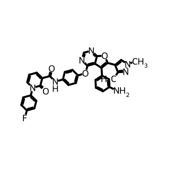 Cc1nn(C)cc1-c1oc2ncnc(Oc3ccc(NC(=O)c4cccn(-c5ccc(F)cc5)c4=O)cc3)c2c1-c1cccc(N)c1